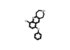 Clc1ccc(Oc2ccccc2)c2cc3c(nc12)CCNCC3